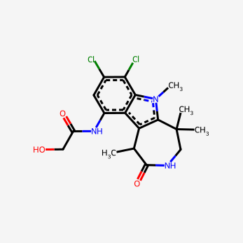 CC1C(=O)NCC(C)(C)c2c1c1c(NC(=O)CO)cc(Cl)c(Cl)c1n2C